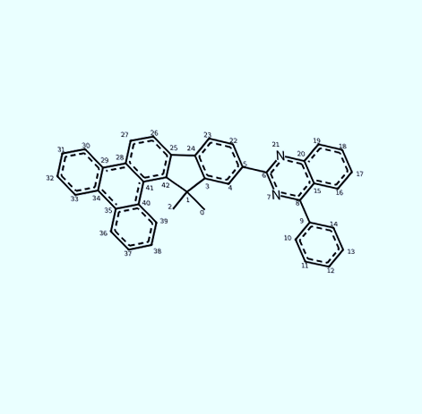 CC1(C)c2cc(-c3nc(-c4ccccc4)c4ccccc4n3)ccc2-c2ccc3c4ccccc4c4ccccc4c3c21